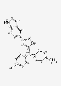 CN1CCN([C@@H](c2ccc(F)cc2)c2cc(-c3ccc4[nH]ccc4c3)co2)CC1